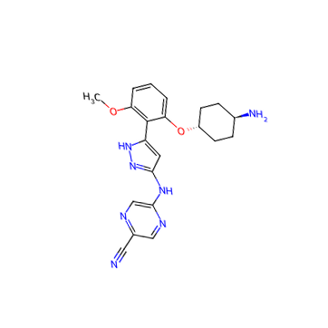 COc1cccc(O[C@H]2CC[C@H](N)CC2)c1-c1cc(Nc2cnc(C#N)cn2)n[nH]1